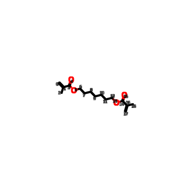 C=C(C)C(=O)OCCCCCCCOC(=O)C(=C)C